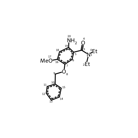 CCN(CC)C(=O)c1cc(OCc2ccccc2)c(OC)cc1N